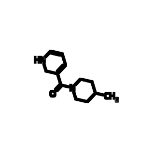 CC1CCN(C(=O)C2=CC=CNC2)CC1